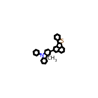 C[C@@]12C=C(c3cc4c5c(cccc5c3)-c3sc5ccccc5c3-4)C=CC1N(c1ccccc1)c1ccccc12